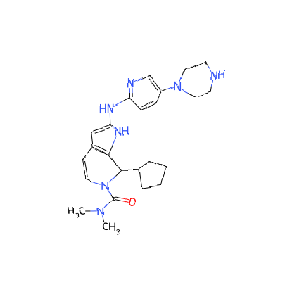 CN(C)C(=O)N1C=Cc2cc(Nc3ccc(N4CCNCC4)cn3)[nH]c2C1C1CCCC1